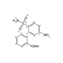 COc1ccccc1.Nc1ccc(S(N)(=O)=O)cc1